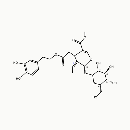 C/C=C1/C(CC(=O)OCCc2ccc(O)c(O)c2)C(C(=O)OC)=CO[C@H]1OC1O[C@H](CO)[C@@H](O)[C@H](O)[C@H]1O